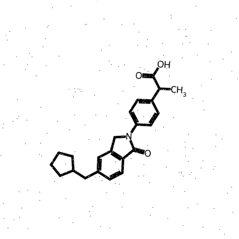 CC(C(=O)O)c1ccc(N2Cc3cc(CC4CCCC4)ccc3C2=O)cc1